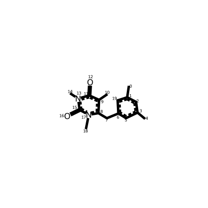 Cc1cc(C)cc(Cc2c(C)c(=O)n(C)c(=O)n2C)c1